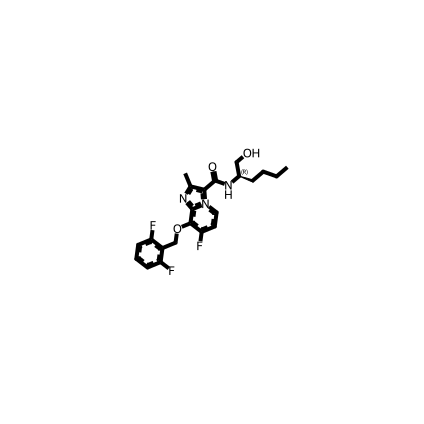 CCCC[C@H](CO)NC(=O)c1c(C)nc2c(OCc3c(F)cccc3F)c(F)ccn12